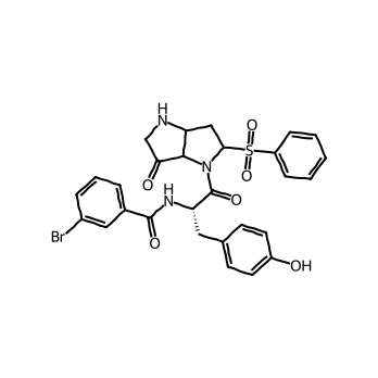 O=C(N[C@@H](Cc1ccc(O)cc1)C(=O)N1C2C(=O)CNC2CC1S(=O)(=O)c1ccccc1)c1cccc(Br)c1